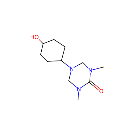 CN1CN(C2CCC(O)CC2)CN(C)C1=O